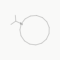 CC(C)N1CCCCCCCCCCCCCC1